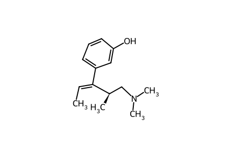 C/C=C(/c1cccc(O)c1)[C@H](C)CN(C)C